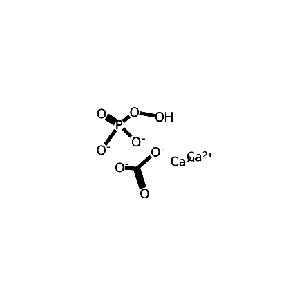 O=C([O-])[O-].O=P([O-])([O-])OO.[Ca+2].[Ca+2]